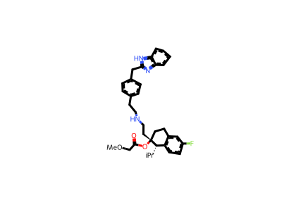 COCC(=O)O[C@]1(CCNCCc2ccc(Cc3nc4ccccc4[nH]3)cc2)CCc2cc(F)ccc2[C@@H]1C(C)C